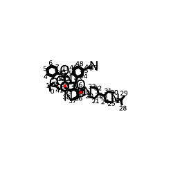 CCOc1ccccc1S(=O)(=O)N1C(=O)C(OC(=O)N2CCC(C3CCN(C(C)C)CC3)CC2)(c2cccnc2OCC)c2cc(C#N)ccc21